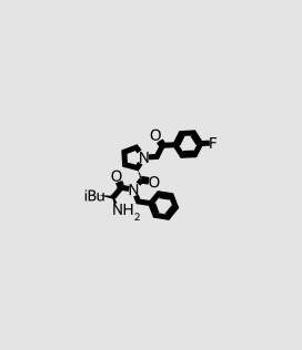 CC[C@H](C)[C@H](N)C(=O)N(Cc1ccccc1)C(=O)[C@@H]1CCCN1CC(=O)c1ccc(F)cc1